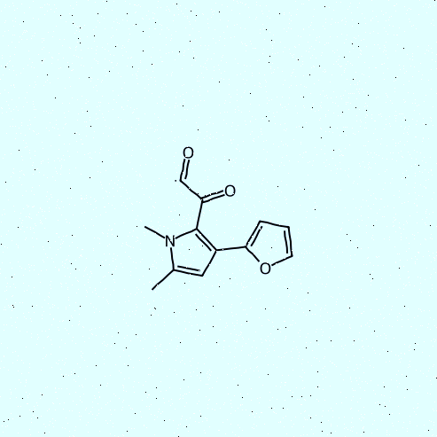 Cc1cc(-c2ccco2)c(C(=O)[C]=O)n1C